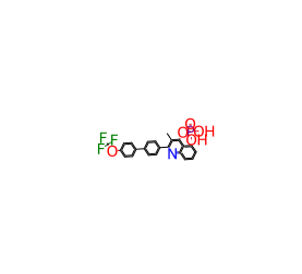 Cc1c(-c2ccc(-c3ccc(OC(F)(F)F)cc3)cc2)nc2ccccc2c1OP(=O)(O)O